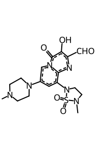 CN1CCN(c2cc(N3CCN(C)S3(=O)=O)c3nc(C=O)c(O)c(=O)n3c2)CC1